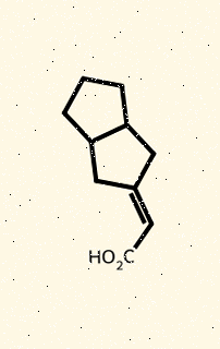 O=C(O)C=C1CC2CCCC2C1